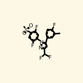 Cc1cc(-c2cc(C(F)F)nn2-c2cc(F)c(S(C)(=O)=O)cc2F)ccc1F